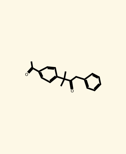 CC(=O)c1ccc(C(C)(C)C(=O)Cc2ccccc2)cc1